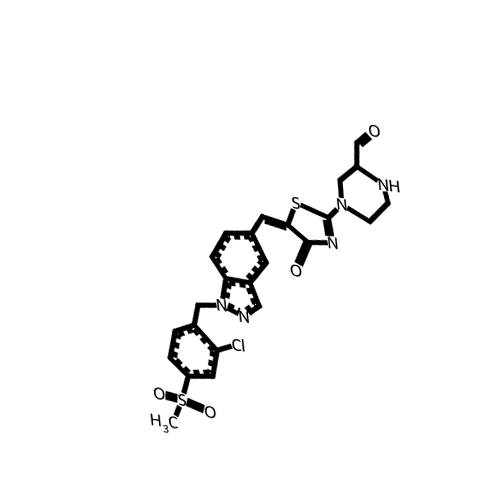 CS(=O)(=O)c1ccc(Cn2ncc3cc(C=C4SC(N5CCNC(C=O)C5)=NC4=O)ccc32)c(Cl)c1